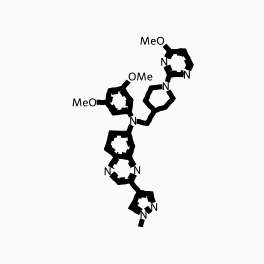 COc1cc(OC)cc(N(CC2CCN(c3nccc(OC)n3)CC2)c2ccc3ncc(-c4cnn(C)c4)nc3c2)c1